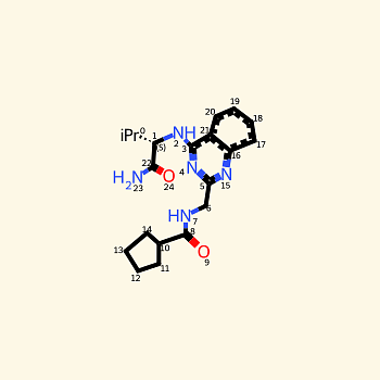 CC(C)[C@H](Nc1nc(CNC(=O)C2CCCC2)nc2ccccc12)C(N)=O